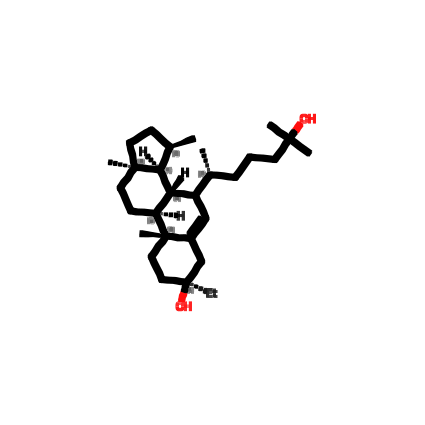 CC[C@]1(O)CC[C@@]2(C)C(=CC([C@H](C)CCCC(C)(C)O)[C@H]3[C@@H]4[C@H](C)CC[C@]4(C)CC[C@@H]32)C1